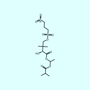 CC(OC(=O)C(C)C)OC(=O)[C@@H](O)C(C)(C)COS(=O)(=O)CCC[SH](=O)=O